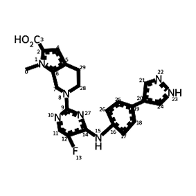 Cn1c(C(=O)O)cc2c1CN(c1ncc(F)c(Nc3ccc(-c4cn[nH]c4)cc3)n1)CC2